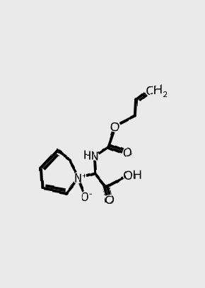 C=CCOC(=O)NC(C(=O)O)[N+]1([O-])C=CC=CC1